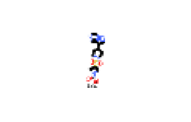 CC(C)(C)OC(=O)N1CC(S(=O)(=O)N2CCC(c3cnn4ccncc34)CC2)C1